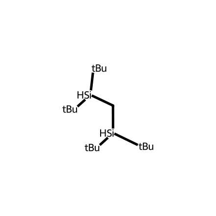 CC(C)(C)[SiH](C[SiH](C(C)(C)C)C(C)(C)C)C(C)(C)C